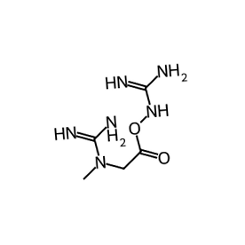 CN(CC(=O)ONC(=N)N)C(=N)N